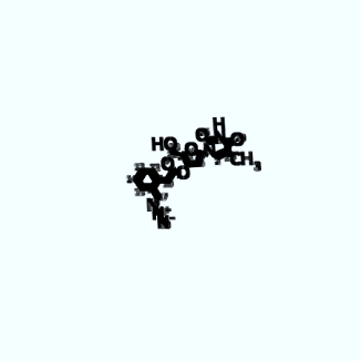 Cc1cn([C@H]2C[C@@H](OC(=O)Cc3ccccc3CN=[N+]=[N-])[C@@H](CO)O2)c(=O)[nH]c1=O